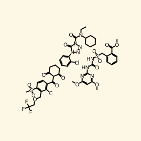 CCN(C(=O)n1nnn(-c2ccccc2Cl)c1=O)C1CCCCC1.COC(=O)c1ccccc1CS(=O)(=O)NC(=O)Nc1nc(OC)cc(OC)n1.CS(=O)(=O)c1ccc(C(=O)C2C(=O)CCCC2=O)c(Cl)c1COCC(F)(F)F